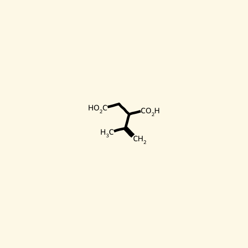 C=C(C)C(CC(=O)O)C(=O)O